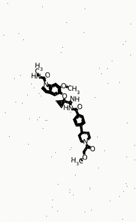 CNC(=O)n1ccc2cc(OC3(C(=N)NC(=O)c4ccc(C5CCN(C(=O)COC)CC5)cc4)C=C3)c(OC)cc21